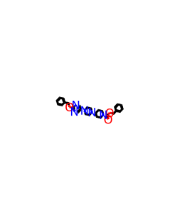 O=C(OCc1ccccc1)N1CCC(N2CCN(c3cnc(OCc4ccccc4)nc3)CC2)CC1